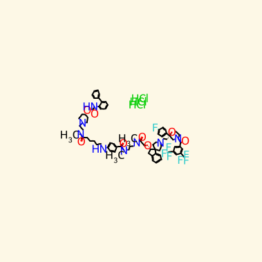 CN(CCN1CCC(OC(=O)Nc2ccccc2-c2ccccc2)CC1)C(=O)CCCCCNc1ccc(C(=O)N(C)CCCN(C)C(=O)CO[C@H]2Cc3ccccc3C23CCN(CC[C@@]2(c4ccc(F)cc4)CN(C(=O)c4cc(C(F)(F)F)cc(C(F)(F)F)c4)CCO2)CC3)cc1.Cl.Cl.Cl